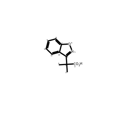 CC(C)(C(=O)O)c1noc2ccccc12